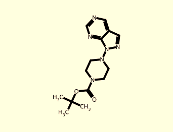 CC(C)(C)OC(=O)N1CCN(n2ncc3cncnc32)CC1